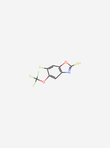 Fc1cc2oc(S)nc2cc1OC(F)(F)F